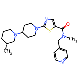 C[C@@H]1CCCN(C2CCN(c3ncc(C(=O)N(C)Cc4ccncc4)s3)CC2)C1